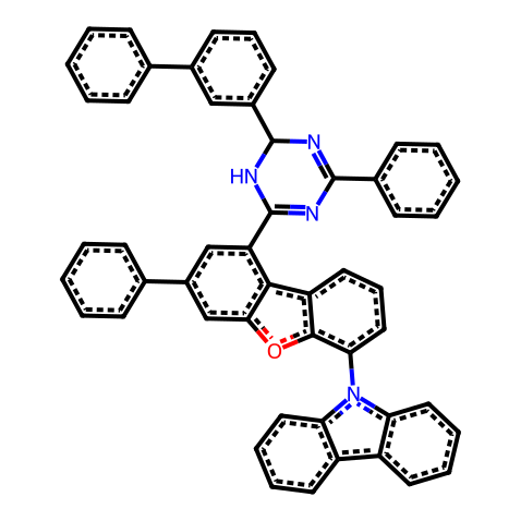 c1ccc(C2=NC(c3cccc(-c4ccccc4)c3)NC(c3cc(-c4ccccc4)cc4oc5c(-n6c7ccccc7c7ccccc76)cccc5c34)=N2)cc1